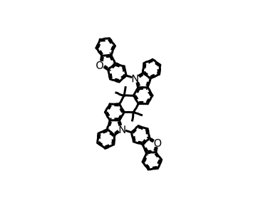 CC1(C)c2ccc3c4ccccc4n(-c4ccc5oc6ccccc6c5c4)c3c2C(C)(C)c2ccc3c4ccccc4n(-c4ccc5oc6ccccc6c5c4)c3c21